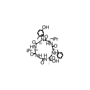 CC(C)C[C@@H]1NC(=O)[C@H](Cc2ccccc2)NC(=O)[C@H]([C@@H](C)O)NC(=O)CNC(=O)[C@H](C(C)C)NC(=O)[C@H](Cc2ccc(O)cc2)NC1=O